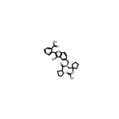 O=C(O)OC1(CN(Cc2ccc3oc(-c4ccccc4C(=O)O)c(Br)c3c2)C(=O)C2CCCC2)CCCC1